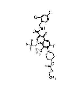 CCOC(=O)OC1CCN(c2c(F)cc3c(=O)c(C(=O)NCc4ccc(Cl)cc4Cl)cn(CC(F)(F)F)c3c2OC)CC1